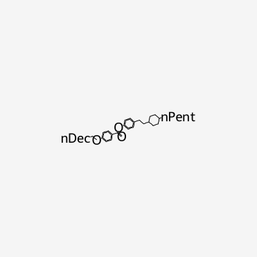 CCCCCCCCCCCOc1ccc(C(=O)Oc2ccc(CCC3CCC(CCCCC)CC3)cc2)cc1